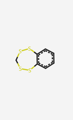 c1ccc2c(c1)SSCSS2